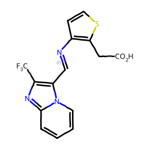 O=C(O)Cc1sccc1/N=C/c1c(C(F)(F)F)nc2ccccn12